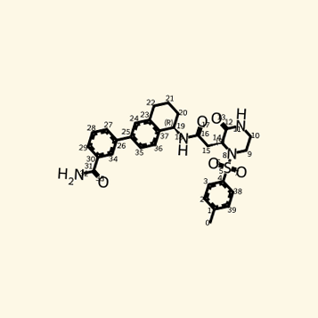 Cc1ccc(S(=O)(=O)N2CCNC(=O)[C@@H]2CC(=O)N[C@@H]2CCCc3cc(-c4cccc(C(N)=O)c4)ccc32)cc1